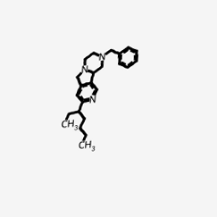 CCCCC(CC)c1cc2c(cn1)C1CN(Cc3ccccc3)CCN1C2